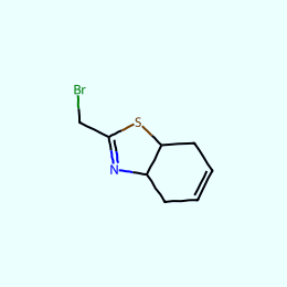 BrCC1=NC2CC=CCC2S1